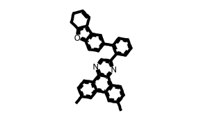 Cc1ccc2c(c1)c1cc(C)ccc1c1nc(-c3ccccc3-c3ccc4oc5c(c4c3)C=CCC5)cnc21